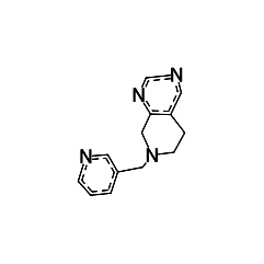 c1cncc(CN2CCc3cncnc3C2)c1